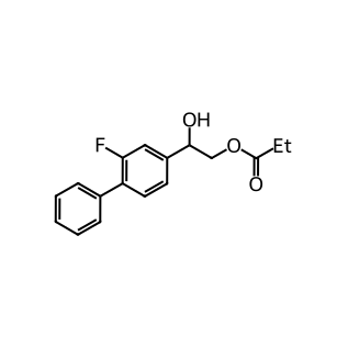 CCC(=O)OCC(O)c1ccc(-c2ccccc2)c(F)c1